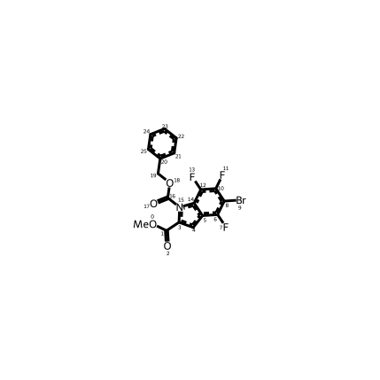 COC(=O)c1cc2c(F)c(Br)c(F)c(F)c2n1C(=O)OCc1ccccc1